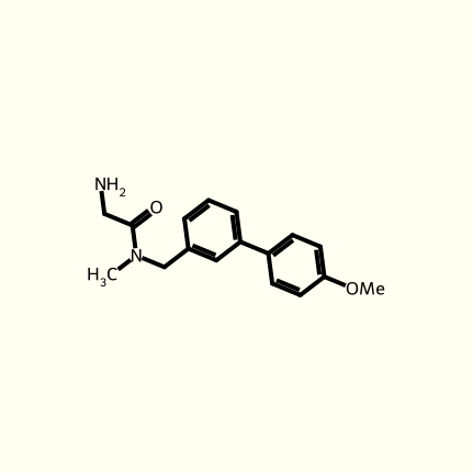 COc1ccc(-c2cccc(CN(C)C(=O)CN)c2)cc1